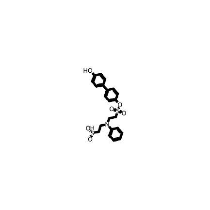 O=[SH](=O)CCN(CCS(=O)(=O)Oc1ccc(-c2ccc(O)cc2)cc1)c1ccccc1